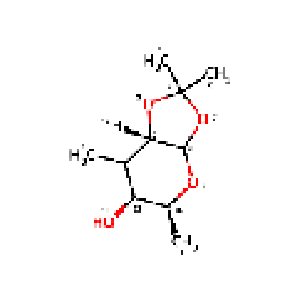 CC1[C@@H]2OC(C)(C)OC2O[C@@H](C)[C@H]1O